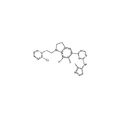 Cn1nccc1Nc1nccc(-c2cc3c(c(F)c2F)N(CCc2cccnc2Cl)CC3)n1